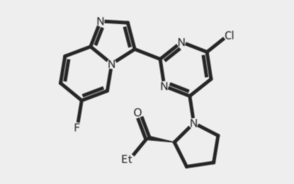 CCC(=O)[C@@H]1CCCN1c1cc(Cl)nc(-c2cnc3ccc(F)cn23)n1